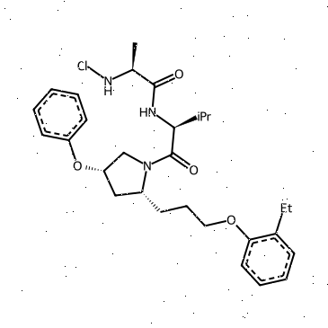 CCc1ccccc1OCCC[C@@H]1C[C@H](Oc2ccccc2)CN1C(=O)[C@@H](NC(=O)[C@H](C)NCl)C(C)C